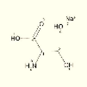 NC(CO)C(=O)O.[Na+].[OH-]